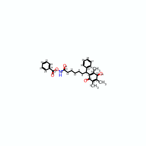 CC1=C(C)C(=O)C(C(CCCCCC(=O)NOC(=O)c2ccccc2)c2ccccc2)=C(C)C1=O